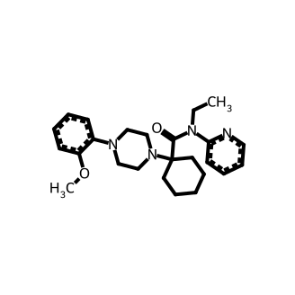 CCN(C(=O)C1(N2CCN(c3ccccc3OC)CC2)CCCCC1)c1ccccn1